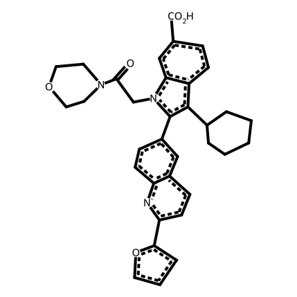 O=C(O)c1ccc2c(C3CCCCC3)c(-c3ccc4nc(-c5ccco5)ccc4c3)n(CC(=O)N3CCOCC3)c2c1